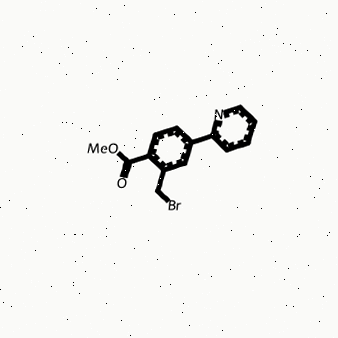 COC(=O)c1ccc(-c2ccccn2)cc1CBr